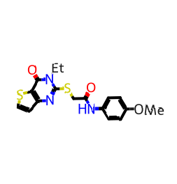 CCn1c(SCC(=O)Nc2ccc(OC)cc2)nc2ccsc2c1=O